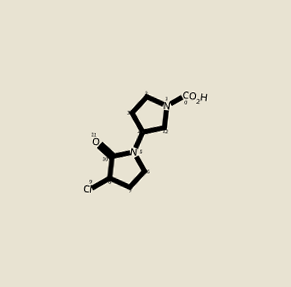 O=C(O)N1CCC(N2CCC(Cl)C2=O)C1